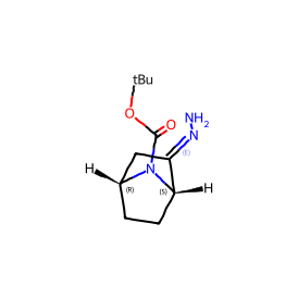 CC(C)(C)OC(=O)N1[C@@H]2CC[C@H]1/C(=N/N)C2